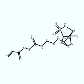 C=CC(=O)OCC(=O)OCCOC1C2CC3C(C)(C2)C1OS3(=O)=O